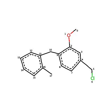 COc1cc(CCl)ccc1Cc1ccccc1C